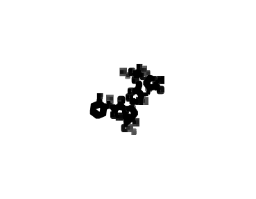 C[C@@H]1[C@@H]2C[C@@H](C(=O)N[C@@H](C[C@@H]3CCNC3=O)C(=O)COC(C)(C)F)N(C(=O)C(=O)Nc3ccccc3F)[C@H]12